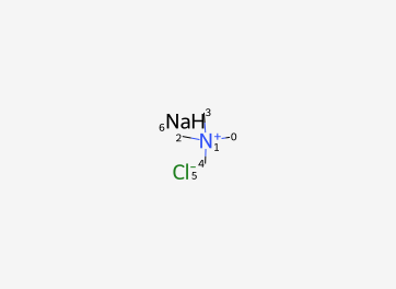 C[N+](C)(C)C.[Cl-].[NaH]